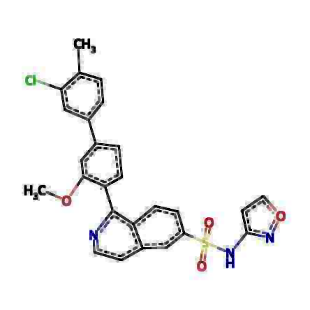 COc1cc(-c2ccc(C)c(Cl)c2)ccc1-c1nccc2cc(S(=O)(=O)Nc3ccon3)ccc12